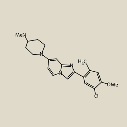 CNC1CCN(c2ccn3cc(-c4cc(Cl)c(OC)cc4C)nc3c2)CC1